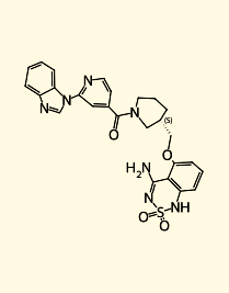 NC1=NS(=O)(=O)Nc2cccc(OC[C@H]3CCCN(C(=O)c4ccnc(-n5cnc6ccccc65)c4)C3)c21